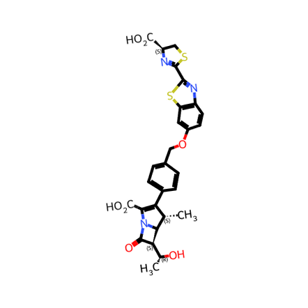 C[C@H]1C(c2ccc(COc3ccc4nc(C5=N[C@@H](C(=O)O)CS5)sc4c3)cc2)=C(C(=O)O)N2C(=O)[C@H]([C@@H](C)O)C12